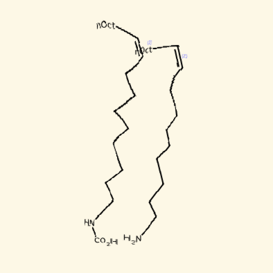 CCCCCCCC/C=C\CCCCCCCCN.CCCCCCCC/C=C\CCCCCCCCNC(=O)O